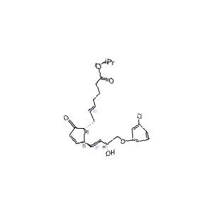 CC(C)OC(=O)CCC/C=C/C[C@H]1C(=O)C=C[C@@H]1/C=C/[C@@H](O)COc1cccc(Cl)c1